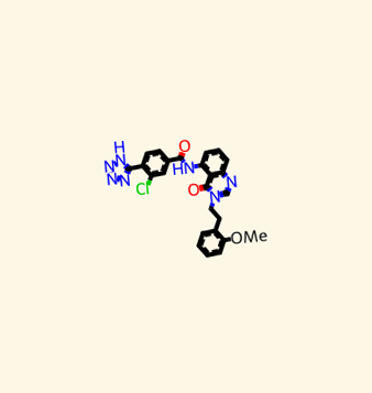 COc1ccccc1CCn1cnc2cccc(NC(=O)c3ccc(-c4nnn[nH]4)c(Cl)c3)c2c1=O